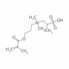 C=C(C)C(=O)OCCC[N+](C)(C)CC(C)S(=O)(=O)O